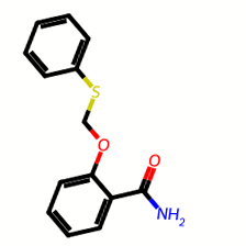 NC(=O)c1ccccc1OCSc1ccccc1